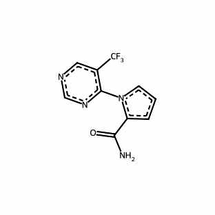 NC(=O)c1cccn1-c1ncncc1C(F)(F)F